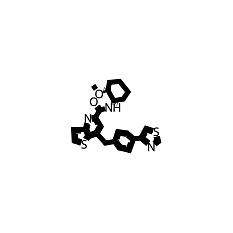 CO[C@H]1CCCC[C@@H]1NC(=O)c1cc(Cc2ccc(-c3cscn3)cc2)c2sccc2n1